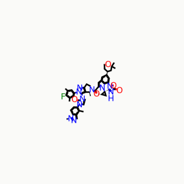 Cc1cc(-n2nc3c(c2-n2ccn(-c4ccc5c(cnn5C)c4C)c2=O)[C@H](C)N(C(=O)c2cc4cc([C@H]5CCOC(C)(C)C5)ccc4n2[C@@]2(c4noc(=O)[nH]4)C[C@@H]2C)CC3)cc(C)c1F